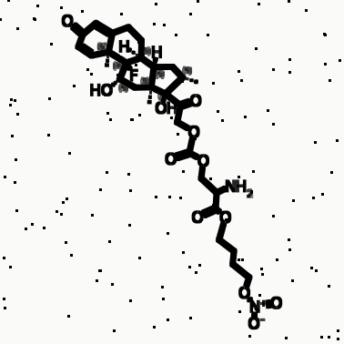 C[C@H]1C[C@H]2[C@@H]3CCC4=CC(=O)C=C[C@]4(C)[C@@]3(F)[C@@H](O)C[C@]2(C)[C@@]1(O)C(=O)COC(=O)OCC(N)C(=O)OCCCCO[N+](=O)[O-]